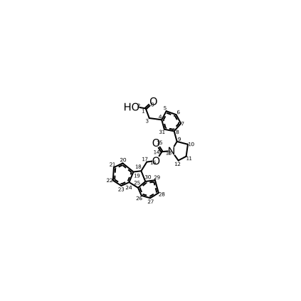 O=C(O)Cc1cccc(C2CCCN2C(=O)OCC2c3ccccc3-c3ccccc32)c1